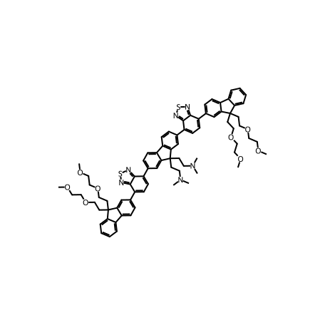 COCCOCCC1(CCOCCOC)c2ccccc2-c2ccc(-c3ccc(-c4ccc5c(c4)C(CCN(C)C)(CCN(C)C)c4cc(-c6ccc(-c7ccc8c(c7)C(CCOCCOC)(CCOCCOC)c7ccccc7-8)c7nsnc67)ccc4-5)c4nsnc34)cc21